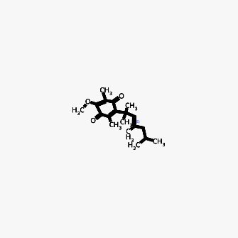 COC1=C(C)C(=O)C(C(C)(C)/C=C(\C)CC(C)C)=C(C)C1=O